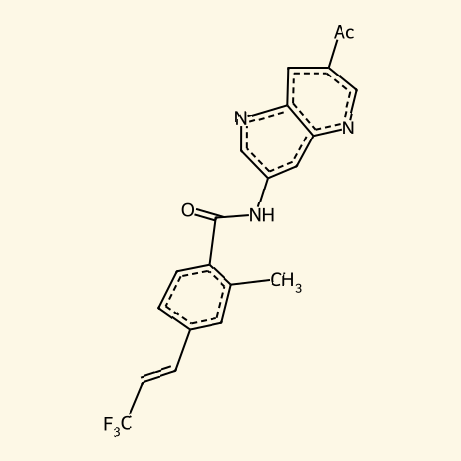 CC(=O)c1cnc2cc(NC(=O)c3ccc(/C=C/C(F)(F)F)cc3C)cnc2c1